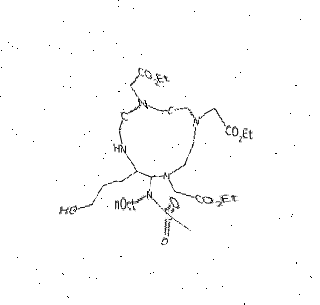 CCCCCCCCN(C1C(CCCO)NCCN(CC(=O)OCC)CCN(CC(=O)OCC)CCN1CC(=O)OCC)S(C)(=O)=O